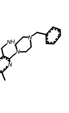 Cc1ccc(CN)c(N2CCN(Cc3ccccc3)CC2)n1